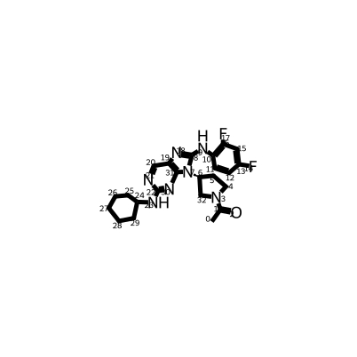 CC(=O)N1CC[C@@H](n2c(Nc3ccc(F)cc3F)nc3cnc(NC4CCCCC4)nc32)C1